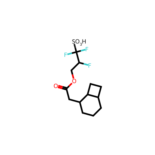 O=C(CC1CCCC2CCC21)OCC(F)C(F)(F)S(=O)(=O)O